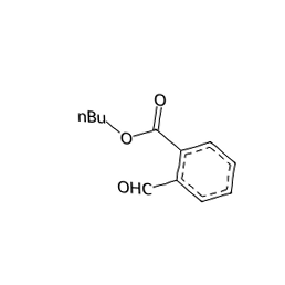 CCCCOC(=O)c1ccccc1C=O